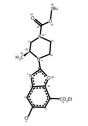 CCOC(=O)c1cc(Cl)cc2nc(N3CCN(C(=O)OC(C)(C)C)C[C@@H]3C)oc12